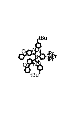 CC(C)[Si](c1cc2c3c(c1)-n1c4ccc(CC(C)(C)C)cc4n4c5c(ccc6oc7ccccc7c65)c(c14)B3c1c3cc4c(cc3n3c5cc(CC(C)(C)C)ccc5n-2c13)oc1ccccc14)(C(C)C)C(C)C